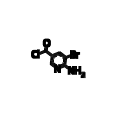 Nc1ncc(C(=O)Cl)cc1Br